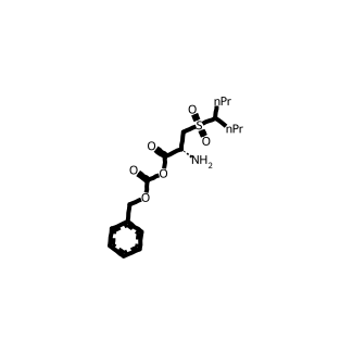 CCCC(CCC)S(=O)(=O)C[C@H](N)C(=O)OC(=O)OCc1ccccc1